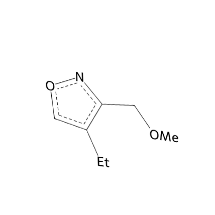 [CH2]OCc1nocc1CC